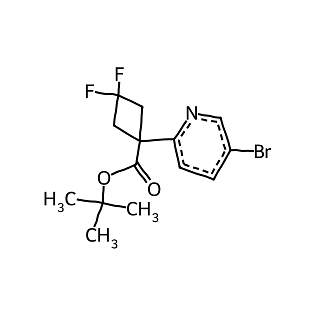 CC(C)(C)OC(=O)C1(c2ccc(Br)cn2)CC(F)(F)C1